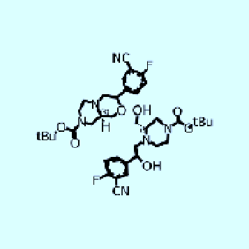 CC(C)(C)OC(=O)N1CCN(CC(O)c2ccc(F)c(C#N)c2)[C@H](CO)C1.CC(C)(C)OC(=O)N1CCN2CC(c3ccc(F)c(C#N)c3)OC[C@H]2C1